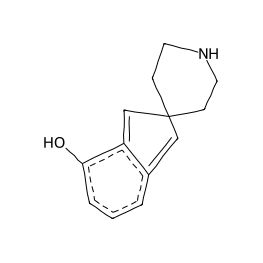 Oc1cccc2c1=CC1(C=2)CCNCC1